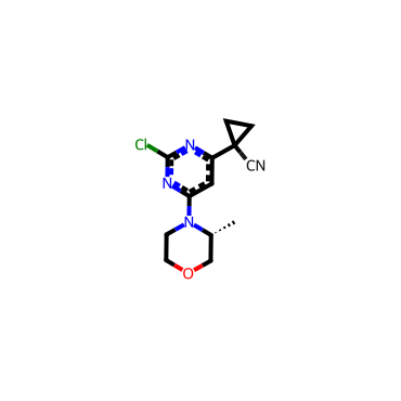 C[C@@H]1COCCN1c1cc(C2(C#N)CC2)nc(Cl)n1